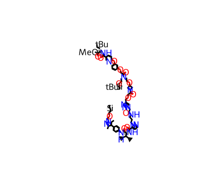 COC(=O)[C@H](CCC(C)(C)C)NC(=O)c1ccc(Oc2cccc(OCC(=O)N(CCOC3CN(C(=O)COCc4cn(CC(=O)NCCCn5nccc5C(=O)N[C@H](C(=O)Nc5ccc(-c6c(C)nn(COCC[Si](C)(C)C)c6C)cc5)C(C5CC5)C5CC5)nn4)C3)CCO[Si](C)(C)C(C)(C)C)c2)nc1